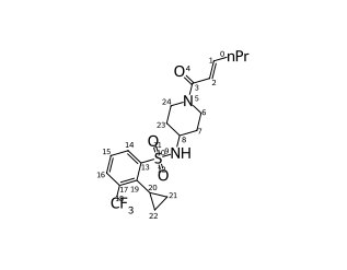 CCCC=CC(=O)N1CCC(NS(=O)(=O)c2cccc(C(F)(F)F)c2C2CC2)CC1